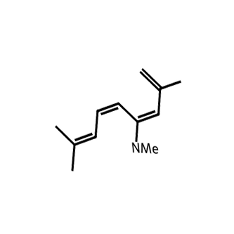 C=C(C)/C=C(\C=C/C=C(C)C)NC